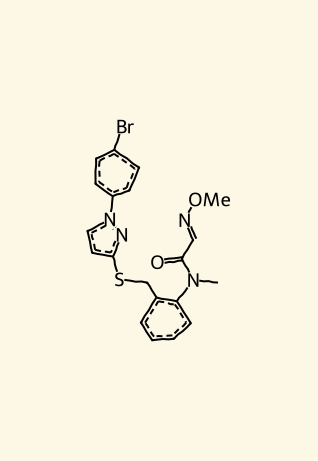 CON=CC(=O)N(C)c1ccccc1CSc1ccn(-c2ccc(Br)cc2)n1